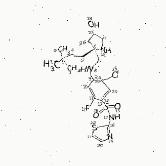 CC(C)(C)CC[C@@]1(CNc2cc(F)c(S(=O)(=O)Nc3nccs3)cc2Cl)C[C@H](O)CN1